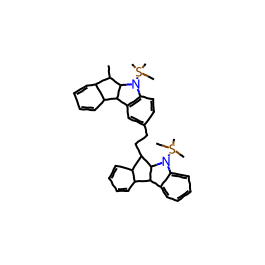 CC1C2C=CC=CC2C2c3cc(CCC4C5C=CC=CC5C5c6ccccc6N(S(C)(C)C)C45)ccc3N(S(C)(C)C)C12